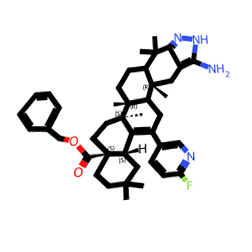 CC1(C)CC[C@]2(C(=O)OCc3ccccc3)CC[C@]3(C)C(=C(c4ccc(F)nc4)CC4[C@@]5(C)Cc6c(n[nH]c6N)C(C)(C)C5CC[C@]43C)[C@@H]2C1